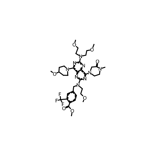 COCCN(Cc1ccc(C(=O)OC)c(C(F)(F)F)c1)c1nc(N2CCN(C)C(=O)C2)c2nc(N(CCOC)CCOC)nc(N3CCC(OC)CC3)c2n1